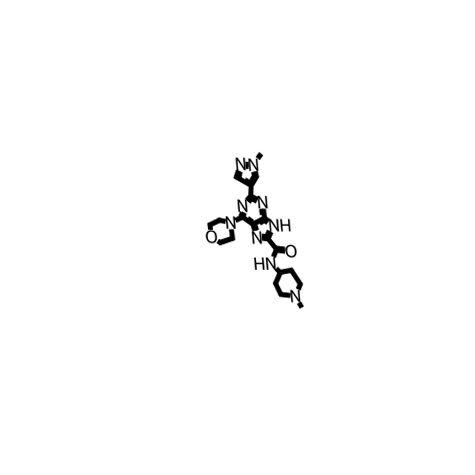 CN1CCC(NC(=O)c2nc3c(N4CCOCC4)nc(-c4cnn(C)c4)nc3[nH]2)CC1